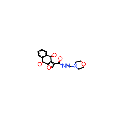 O=C(NCCN1CCOCC1)c1coc2c1C(=O)c1ccccc1C2=O